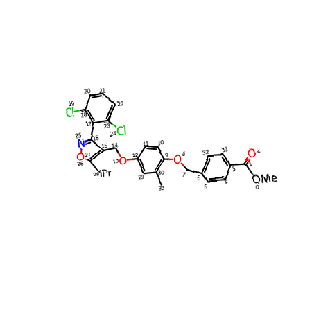 COC(=O)c1ccc(COc2ccc(OCc3c(-c4c(Cl)cccc4Cl)noc3C(C)C)cc2C)cc1